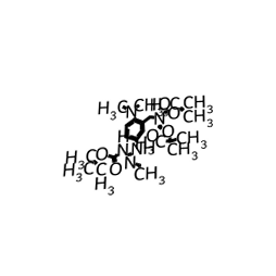 CC/N=C(/NC(=O)OC(C)(C)C)Nc1ccc(N(C)C)c(CN(C(=O)OC(C)(C)C)C(=O)OC(C)(C)C)c1